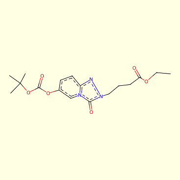 CCOC(=O)CCCn1nc2ccc(OC(=O)OC(C)(C)C)cn2c1=O